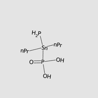 CC[CH2][Sn]([PH2])([CH2]CC)[P](=O)(O)O